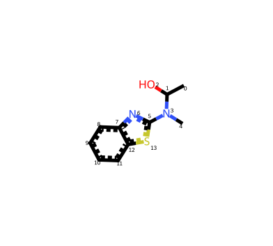 CC(O)N(C)c1nc2ccccc2s1